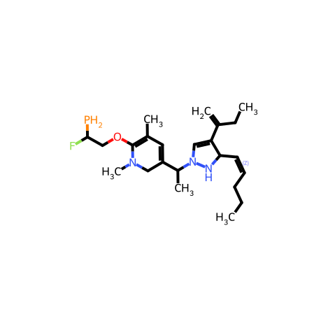 C=C(CC)C1=CN(C(C)C2=CC(C)=C(OCC(F)P)N(C)C2)NC1/C=C\CCC